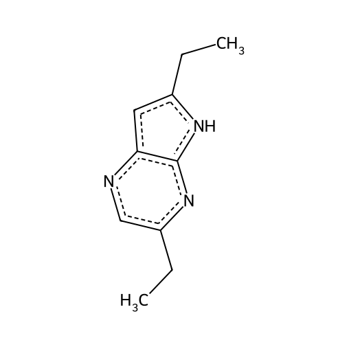 CCc1cnc2cc(CC)[nH]c2n1